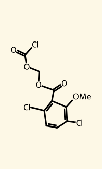 COc1c(Cl)ccc(Cl)c1C(=O)OCOC(=O)Cl